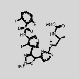 COC(=O)N[C@@H](C)CNc1nccc(C2SN(C(C)(C)C)N=C2c2cncc(NS(=O)(=O)c3c(F)cccc3F)c2F)n1